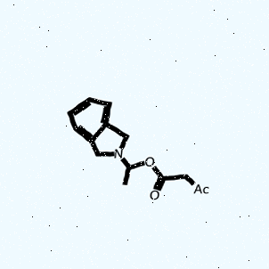 CC(=O)CC(=O)OC(C)N1Cc2ccccc2C1